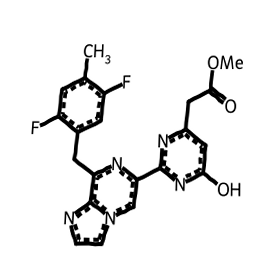 COC(=O)Cc1cc(O)nc(-c2cn3ccnc3c(Cc3cc(F)c(C)cc3F)n2)n1